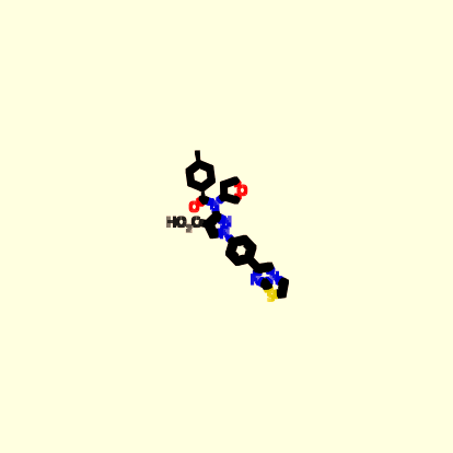 C[C@H]1CC[C@H](C(=O)N(c2nn(-c3ccc(-c4cn5ccsc5n4)cc3)cc2C(=O)O)C2CCOC2)CC1